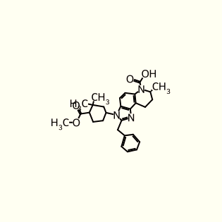 COC(=O)C1CCC(n2c(Cc3ccccc3)nc3c4c(ccc32)N(C(=O)O)[C@@H](C)CC4)CC1(C)C